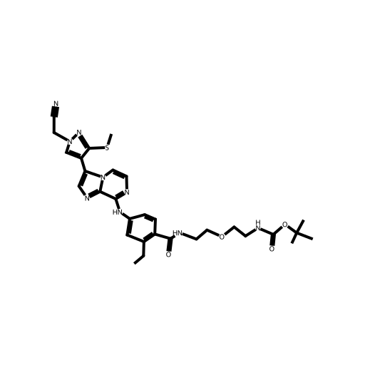 CCc1cc(Nc2nccn3c(-c4cn(CC#N)nc4SC)cnc23)ccc1C(=O)NCCOCCNC(=O)OC(C)(C)C